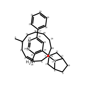 CC1C/C=C\CC(N2C3CCC2CN(c2cc(-c4ccccc4)nnc2N)C3)CCCCC1